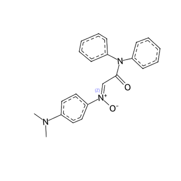 CN(C)c1ccc(/[N+]([O-])=C/C(=O)N(c2ccccc2)c2ccccc2)cc1